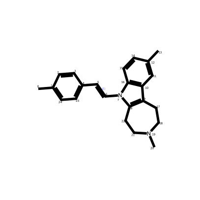 Cc1ccc(/C=C/n2c3c(c4cc(C)ccc42)CCN(C)CC3)cc1